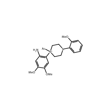 COc1cc(N)c([N+]2(C(C)=O)CCN(c3ccccc3OC)CC2)cc1OC